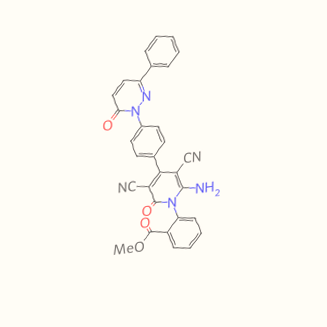 COC(=O)c1ccccc1-n1c(N)c(C#N)c(-c2ccc(-n3nc(-c4ccccc4)ccc3=O)cc2)c(C#N)c1=O